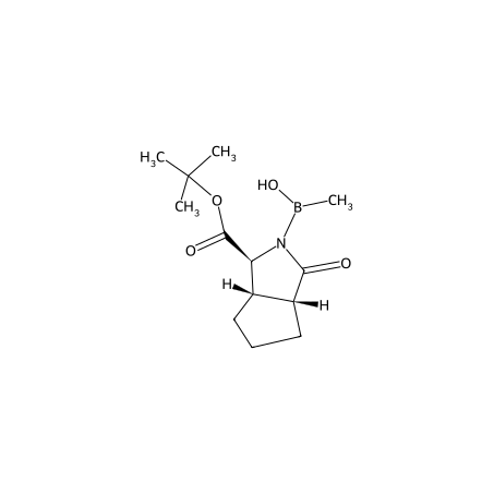 CB(O)N1C(=O)[C@@H]2CCC[C@@H]2[C@H]1C(=O)OC(C)(C)C